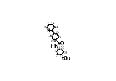 CC(C)(C)c1ccc(NC(=O)c2ccc(-c3ccccn3)cc2)cc1